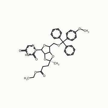 CCOC(=O)CC[C@]1(C)OC2C(COC(c3ccccc3)(c3ccccc3)c3ccc(OC)cc3)OC(n3ncc(=O)[nH]c3=O)C2O1